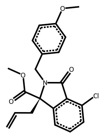 C=CC[C@]1(C(=O)OC)c2cccc(Cl)c2C(=O)N1Cc1ccc(OC)cc1